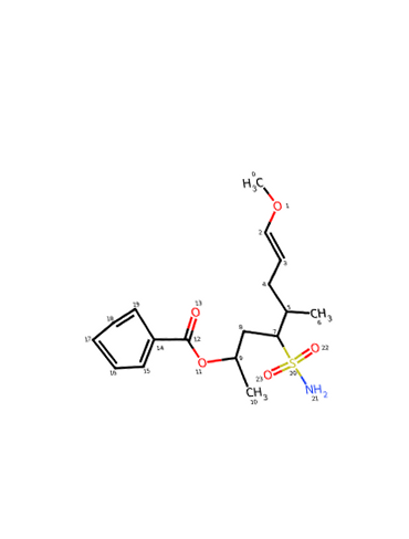 COC=CCC(C)C(CC(C)OC(=O)c1ccccc1)S(N)(=O)=O